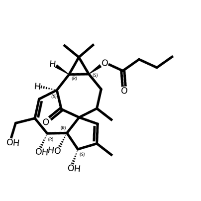 CCCC(=O)O[C@@]12CC(C)C34C=C(C)[C@H](O)[C@@]3(O)[C@H](O)C(CO)=C[C@H](C4=O)[C@@H]1C2(C)C